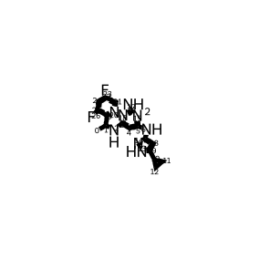 CC(Nc1cc(Nc2cc(C3CC3)[nH]n2)nc(N)n1)c1ncc(F)cc1F